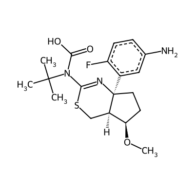 CO[C@@H]1CC[C@]2(c3cc(N)ccc3F)N=C(N(C(=O)O)C(C)(C)C)SC[C@H]12